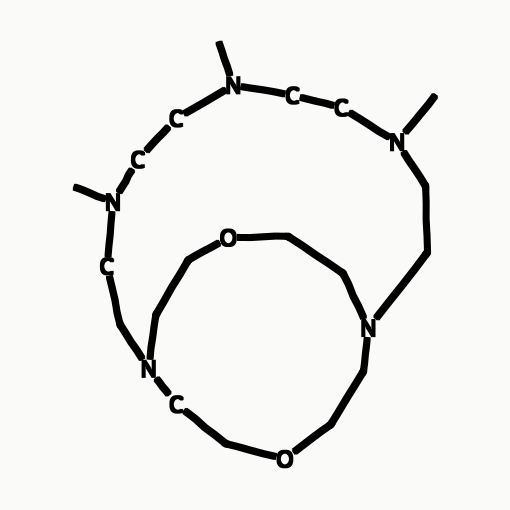 CN1CCN(C)CCN2CCOCCN(CCOCC2)CCN(C)CC1